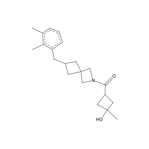 Cc1cccc(CC2CC3(C2)CN(C(=O)C2CC(C)(O)C2)C3)c1C